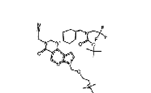 CC(C)(C)OC(=O)N(CC(F)(F)F)C[C@H]1CC[C@H](N2CN(CC#N)C(=O)c3cnc4c(ccn4COCC[Si](C)(C)C)c32)CC1